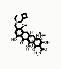 CCN(Cc1cc(O)c2c(c1OC)C[C@H]1C[C@H]3[C@H](N(C)C)C(O)=C(C(N)=O)C(=O)[C@@]3(O)C(O)=C1C2=O)CC1CCC1